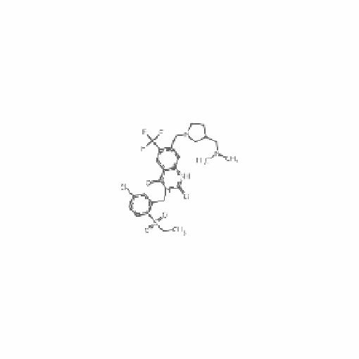 CCS(=O)(=O)c1ccc(Cl)cc1Cn1c(=O)[nH]c2cc(CN3CCC(CN(C)C)C3)c(C(F)(F)F)cc2c1=O